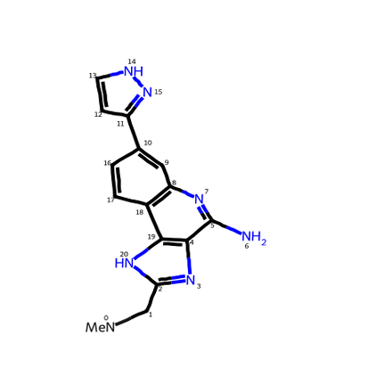 CNCc1nc2c(N)nc3cc(-c4cc[nH]n4)ccc3c2[nH]1